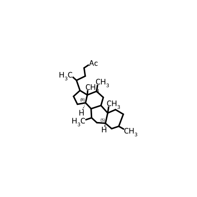 CC(=O)CCC(C)C1CC[C@@H]2C3C(C)C[C@@H]4CC(C)CCC4(C)C3CC(C)C12C